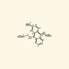 CCCCCCCCCCCOc1c2ccccc2c(OCCCC)c2ccc(C(C)(C)C)cc12